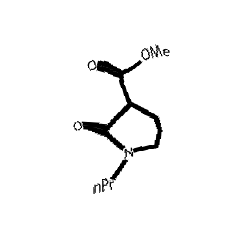 CCCN1CCC(C(=O)OC)C1=O